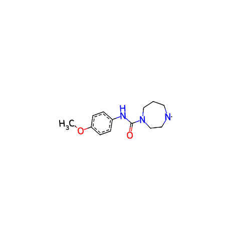 COc1ccc(NC(=O)N2CCC[N]CC2)cc1